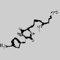 C=CC/C=C(N)\C=C/CCC1NC(=O)[C@H](CC2=CC=C(N)CC2)NC1=O